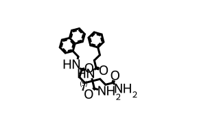 C[C@@H](CC(=O)NCc1cccc2ccccc12)C(CCC(N)=O)(NC(=O)CCc1ccccc1)C(N)=O